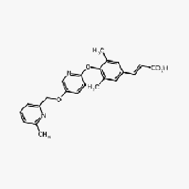 Cc1cccc(COc2ccc(Oc3c(C)cc(/C=C/C(=O)O)cc3C)nc2)n1